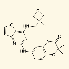 CC1(CNc2nc(Nc3ccc4c(c3)NC(=O)C(C)(C)O4)nc3ccoc23)COC1